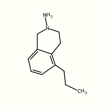 CCCc1cccc2c1CCN(N)C2